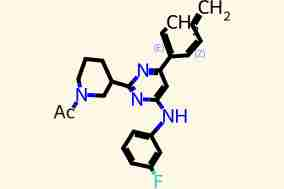 C=C/C=C\C(=C/C)c1cc(Nc2cccc(F)c2)nc(C2CCCN(C(C)=O)C2)n1